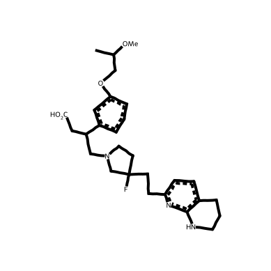 COC(C)COc1cccc(C(CC(=O)O)CN2CCC(F)(CCc3ccc4c(n3)NCCC4)C2)c1